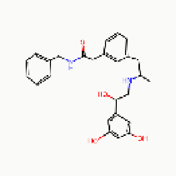 CC(Cc1cccc(CC(=O)NCc2ccccc2)c1)NCC(O)c1cc(O)cc(O)c1